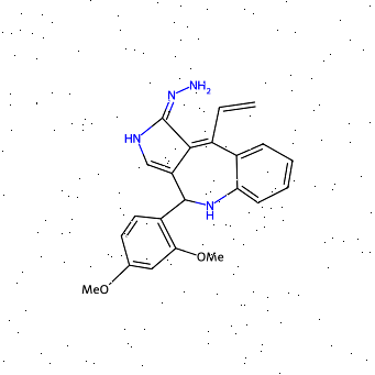 C=CC1=C2C(=CN/C2=N/N)C(c2ccc(OC)cc2OC)Nc2ccccc21